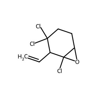 C=CC1C(Cl)(Cl)CCC2OC21Cl